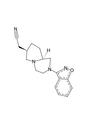 N#CC[C@H]1CC[C@H]2CN(c3noc4ccccc34)CCN2C1